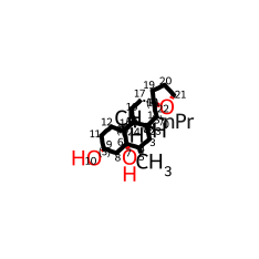 CCC[C@H]1[C@@H]2CC(C)C3(O)C[C@@H](O)CC[C@]3(C)[C@H]2CC[C@@]12CCCO2